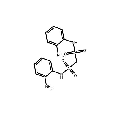 Nc1ccccc1NS(=O)(=O)CS(=O)(=O)Nc1ccccc1N